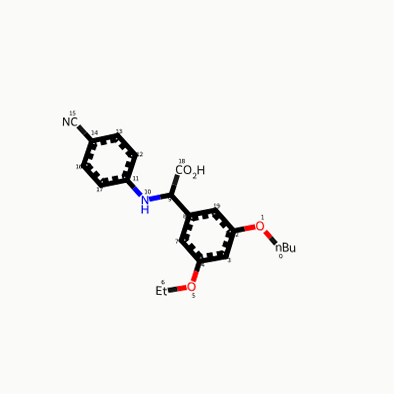 CCCCOc1cc(OCC)cc(C(Nc2ccc(C#N)cc2)C(=O)O)c1